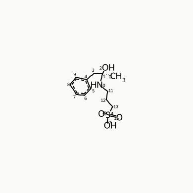 C[C@@](O)(Cc1ccccc1)NCCCS(=O)(=O)O